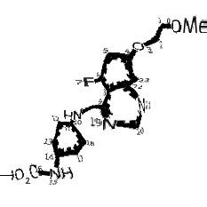 COCCOc1cc(F)c2c(Nc3ccc(NC(=O)O)cc3)ncnc2c1